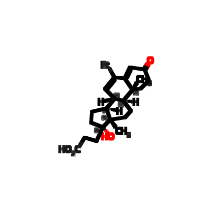 CCC1=C[C@@H]2[C@H](CC[C@@]3(C)[C@H]2CC[C@]3(O)CCC(=O)O)[C@@]2(C)CCC(=O)C=C12